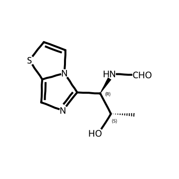 C[C@H](O)[C@H](NC=O)c1ncc2sccn12